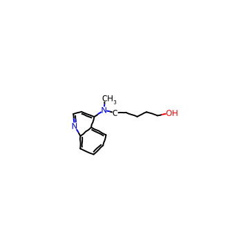 CN(CCCCCO)c1ccnc2ccccc12